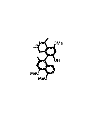 COc1cc(O)c(-c2c(C)cc(OC)c3c(OC)cccc23)c2c1C(C)=N[C@@H](C)C2